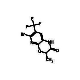 C[C@H]1Oc2nc(Br)c(C(F)(F)F)cc2NC1=O